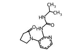 CC(C)NC(=O)Nc1ncccc1N1CCCC1=O